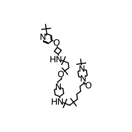 CC(C)(CCCCC(=O)N1CCN(C(C)(C)C)CC1)CC(C)(C)NC1CCN(CCOC(C)(C)CCC(C)(C)N[C@H]2C[C@@H](Oc3ccnc(C(C)(C)C)c3)C2)CC1